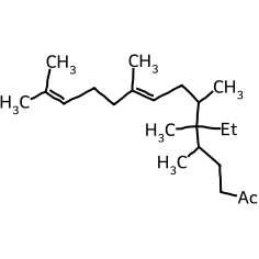 CCC(C)(C(C)C/C=C(\C)CCC=C(C)C)C(C)CCC(C)=O